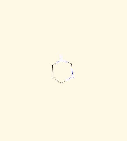 [C]1[N]CCCN1